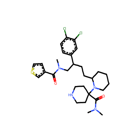 CN(C)C(=O)C1(N2CCCCC2CCC(CN(C)C(=O)c2ccsc2)c2ccc(Cl)c(Cl)c2)CCNCC1